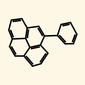 [c]1cc2cccc3c(-c4ccccc4)cc4cccc1c4c23